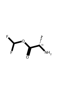 C[C@H](N)C(=O)OC(F)F